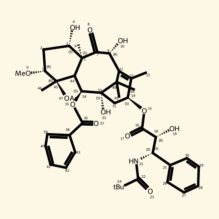 CO[C@@H]1C[C@H](O)[C@@]2(C)C(=O)[C@H](O)C3=C(C)[C@@H](OC(=O)[C@H](O)[C@@H](NC(=O)C(C)(C)C)c4ccccc4)C[C@@](O)([C@@H](OC(=O)c4ccccc4)C2[C@@]1(C)OC(C)=O)C3(C)C